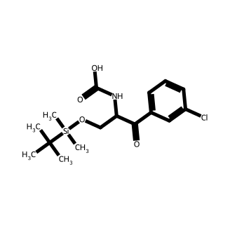 CC(C)(C)[Si](C)(C)OCC(NC(=O)O)C(=O)c1cccc(Cl)c1